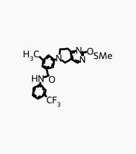 CSOc1ncc2c(n1)CCN(c1cc(C)cc(C(=O)Nc3cccc(C(F)(F)F)c3)c1)C2